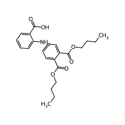 CCCCOC(=O)c1ccccc1C(=O)OCCCC.Nc1ccccc1C(=O)O